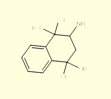 CC1(C)CC(N)C(C)(C)c2ccccc21